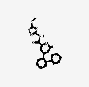 CSc1nnc(NC(=O)c2cc(-c3ccccc3-c3ccccc3)cc(=O)o2)s1